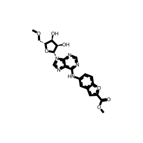 COC[C@H]1O[C@@H](n2cnc3c(Nc4ccc5oc(C(=O)OC)cc5c4)ncnc32)[C@H](O)[C@@H]1O